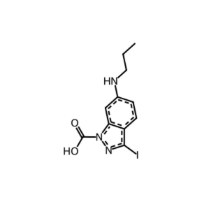 CCCNc1ccc2c(I)nn(C(=O)O)c2c1